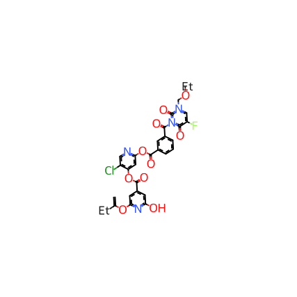 C=C(CC)Oc1cc(C(=O)Oc2cc(OC(=O)c3cccc(C(=O)n4c(=O)c(F)cn(COCC)c4=O)c3)ncc2Cl)cc(O)n1